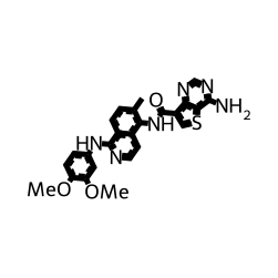 COc1ccc(Nc2nccc3c(NC(=O)c4csc5c(N)ncnc45)c(C)ccc23)cc1OC